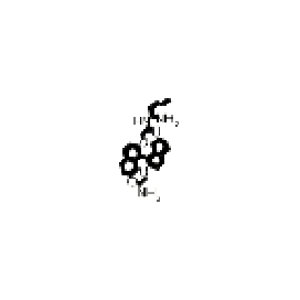 C=C/C=C\C(N)NC(=O)COc1ccc2ccccc2c1-c1c(OCC(N)=O)ccc2ccccc12